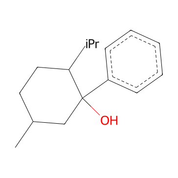 CC1CCC(C(C)C)C(O)(c2ccccc2)C1